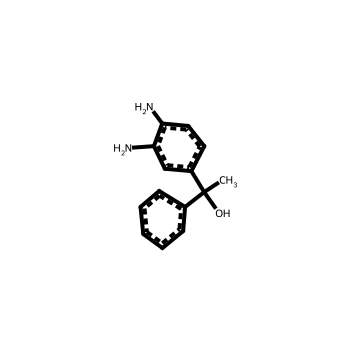 CC(O)(c1ccccc1)c1ccc(N)c(N)c1